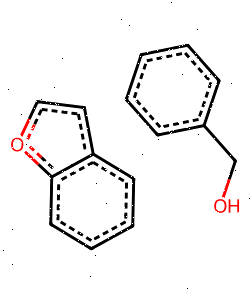 OCc1ccccc1.c1ccc2occc2c1